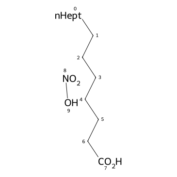 CCCCCCCCCCCCCC(=O)O.O=[N+]([O-])O